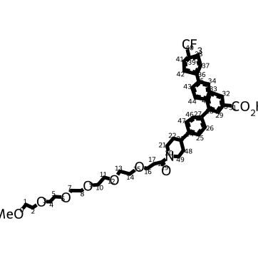 COCCOCCOCCOCCOCCOCCC(=O)N1CCC(c2ccc(-c3cc(C(=O)O)cc4cc(-c5ccc(C(F)(F)F)cc5)ccc34)cc2)CC1